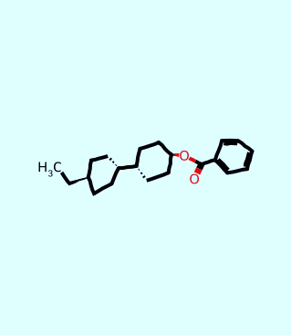 CC[C@H]1CC[C@H]([C@H]2CC[C@H](OC(=O)c3ccccc3)CC2)CC1